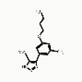 CNc1[nH]nnc1-c1cc(C)cc(OCCCC(F)(F)F)c1